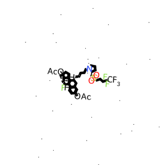 CC(=O)Oc1ccc2c(c1)C[C@@H](CCCCCN1CCC[C@H]1CS(=O)(=O)CCCC(F)(F)C(F)(F)F)[C@@H]1[C@@H]2C(F)C[C@@]2(C)[C@H]1CC[C@]2(C)OC(C)=O